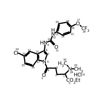 CCOC(=O)C(CCC(=O)n1cc(NC(=O)Nc2ccc(OC(F)(F)F)cc2)c2cc(Cl)ccc21)N(C)C.Cl